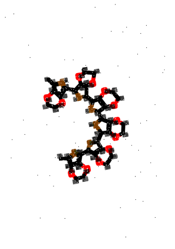 Cc1sc(C2SC(C3SC(C4SC(C5SC(c6sc(C)c7c6OCCO7)C6=C5OCCO6)C5=C4OCCO5)C4=C3OCCO4)C3=C2OCCO3)c2c1OCCO2